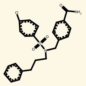 NC(=O)c1ccc(CN(CCCc2ccccc2)S(=O)(=O)c2ccc(Cl)cc2)cc1